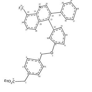 CCOC(=O)Cc1ccc(COc2cccc(-c3c(-c4ccccc4)cnc4c(C(F)(F)F)cccc34)c2)cc1